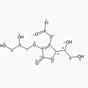 CCC(=O)OC1=C(OCC(O)CO)C(=O)OC1C(O)CO